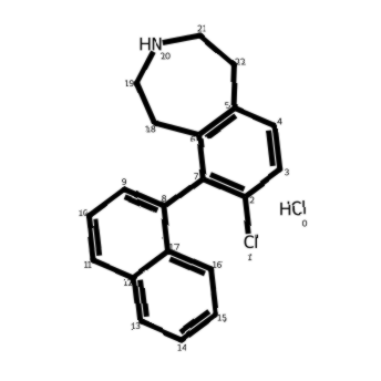 Cl.Clc1ccc2c(c1-c1cccc3ccccc13)CCNCC2